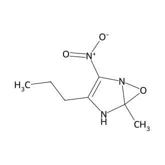 CCCC1=C([N+](=O)[O-])N2OC2(C)N1